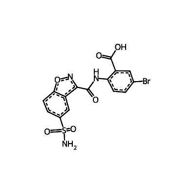 NS(=O)(=O)c1ccc2onc(C(=O)Nc3ccc(Br)cc3C(=O)O)c2c1